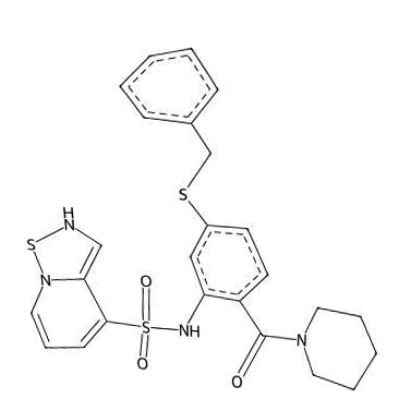 O=C(c1ccc(SCc2ccccc2)cc1NS(=O)(=O)C1=CC=CN2SNC=C12)N1CCCCC1